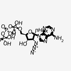 CCCCCC[C@@]1(n2cnc3c(N)ncnc32)O[C@H](COP(=O)(O)OP(=O)(O)OP(=O)(O)O)[C@@H](O)[C@H]1N=[N+]=[N-]